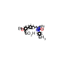 CCCn1c(CCCc2ccc(-c3ccc(OCC)c(CC(=O)O)c3)cc2)nn(-c2ccc(C)cc2)c1=O